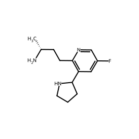 C[C@@H](N)CCc1ncc(F)cc1C1CCCN1